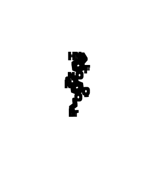 COc1cc2c(Oc3ccc4[nH]ccc4c3F)ncnc2cc1OCCCBr